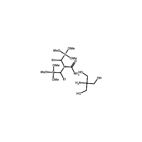 CCC(N(C(N)=O)C(CC)[Si](OC)(OC)OC)[Si](OC)(OC)OC.NC(CO)(CO)CO